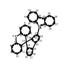 c1ccc2c(c1)Sc1ccccc1C21c2ccccc2-c2ccc(-n3c4ccccc4c4ccccc43)cc21